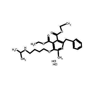 CCOC(=O)c1c(Cc2ccccc2)nc(C)c(OCCCCNC(C)C)c1C(=O)OCC.Cl.Cl